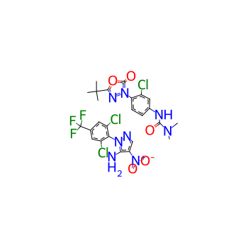 CN(C)C(=O)Nc1ccc(-n2nc(C(C)(C)C)oc2=O)c(Cl)c1.Nc1c([N+](=O)[O-])cnn1-c1c(Cl)cc(C(F)(F)F)cc1Cl